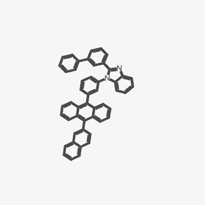 c1ccc(-c2cccc(-c3nc4ccccc4n3-c3cccc(-c4c5ccccc5c(-c5ccc6ccccc6c5)c5ccccc45)c3)c2)cc1